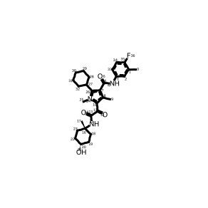 Cc1cc(NC(=O)c2c(C)c(C(=O)C(=O)N[C@]3(C)CC[C@H](O)CC3)n(C)c2C2CCCCC2)ccc1F